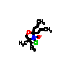 C=CCC1(CC=C)OCC(C)(C)[N+]1([O-])Cl